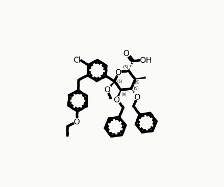 CCOc1ccc(Cc2cc([C@]3(OC)O[C@H](C(=O)O)[C@@H](C)[C@H](OCc4ccccc4)[C@H]3OCc3ccccc3)ccc2Cl)cc1